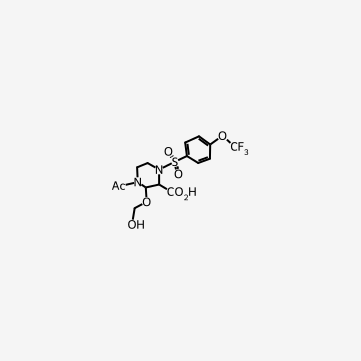 CC(=O)N1CCN(S(=O)(=O)c2ccc(OC(F)(F)F)cc2)C(C(=O)O)C1OCO